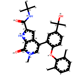 Cc1cccc(C)c1Oc1ccc(C(C)(C)O)cc1-c1cn(C)c(=O)c2[nH]c(C(=O)NC(C)(C)C)cc12